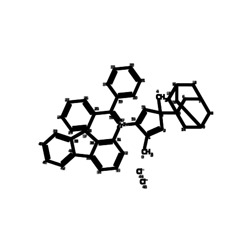 CC1=CC(C)(C23CC4CC(CC(C4)C2)C3)C=[C]1[Zr+2](=[C](c1ccccc1)c1ccccc1)[c]1cccc2c1Cc1ccccc1-2.[Cl-].[Cl-]